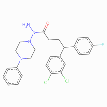 NN(C(=O)CCC(c1ccc(F)cc1)c1ccc(Cl)c(Cl)c1)N1CCN(c2ccccc2)CC1